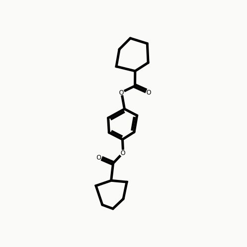 O=C(Oc1ccc(OC(=O)C2CCCCC2)cc1)C1CCCCC1